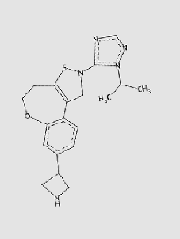 CC(C)n1ncnc1N1CC2=C(CCOc3cc(C4CNC4)ccc32)S1